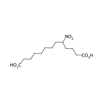 O=C(O)CCCCCCCC(CCCC(=O)O)[N+](=O)[O-]